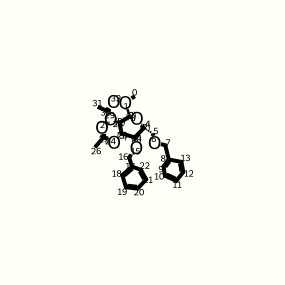 CO[C@H]1O[C@H](COCc2ccccc2)[C@@H](OCc2ccccc2)[C@H](OC(C)=O)[C@H]1OC(C)=O